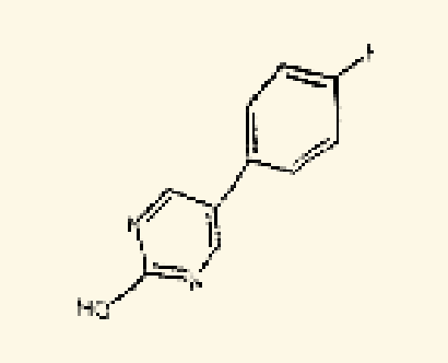 Oc1ncc(-c2ccc(F)cc2)cn1